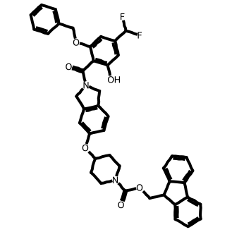 O=C(OCC1c2ccccc2-c2ccccc21)N1CCC(Oc2ccc3c(c2)CN(C(=O)c2c(O)cc(C(F)F)cc2OCc2ccccc2)C3)CC1